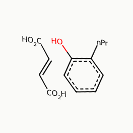 CCCc1ccccc1O.O=C(O)/C=C/C(=O)O